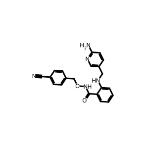 N#Cc1ccc(CONC(=O)c2ccccc2NCc2ccc(N)nc2)cc1